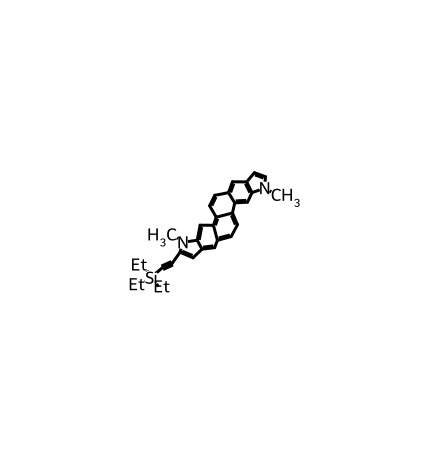 CC[Si](C#Cc1cc2cc3ccc4c5cc6c(ccn6C)cc5ccc4c3cc2n1C)(CC)CC